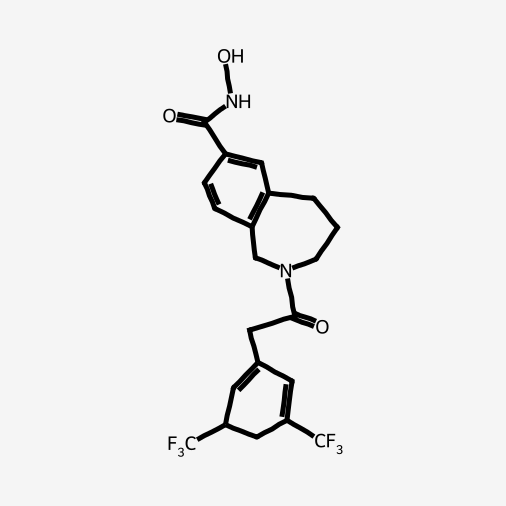 O=C(NO)c1ccc2c(c1)CCCN(C(=O)CC1=CC(C(F)(F)F)CC(C(F)(F)F)=C1)C2